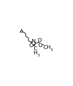 CCOC(=O)c1nc(CCCCC2CC2)oc1C